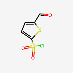 O=Cc1ccc(S(=O)(=O)Cl)s1